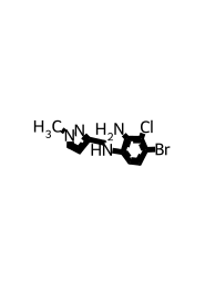 Cn1ccc(CNc2ccc(Br)c(Cl)c2N)n1